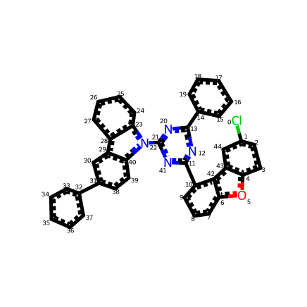 Clc1ccc2oc3cccc(-c4nc(-c5ccccc5)nc(-n5c6ccccc6c6cc(-c7ccccc7)ccc65)n4)c3c2c1